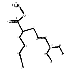 BOC(=O)C(CCCC)CCCN(CC)CC